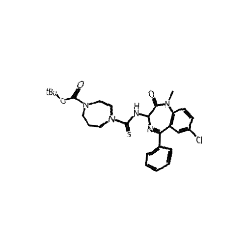 CN1C(=O)C(NC(=S)N2CCCN(C(=O)OC(C)(C)C)CC2)N=C(c2ccccc2)c2cc(Cl)ccc21